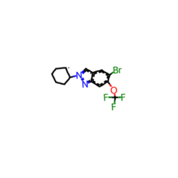 FC(F)(F)Oc1cc2nn(C3[CH]CCCC3)cc2cc1Br